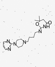 CC1(C)CC(=O)NC(=NCCCCN2CCN(c3ncccn3)CC2)O1